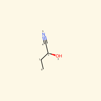 CC[C@H](O)C#N